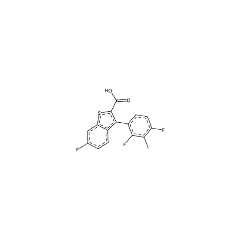 Cc1c(F)ccc(-c2c(C(=O)O)sc3cc(F)ccc23)c1F